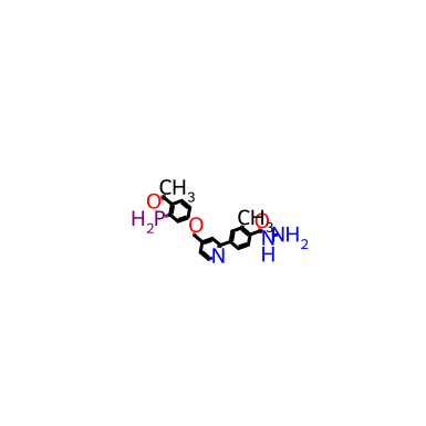 CC(=O)c1ccc(OCc2ccnc(-c3ccc(C(=O)NN)c(C)c3)c2)cc1P